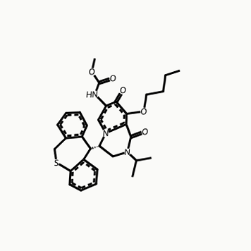 CCCCOc1c2n(cc(NC(=O)OC)c1=O)[C@@H](C1c3ccccc3CSc3ccccc31)CN(C(C)C)C2=O